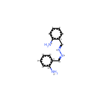 Nc1ccccc1C=N/N=C\c1ccccc1N